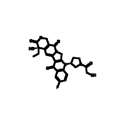 CC[C@@]1(O)C(=O)OCc2c1cc1n(c2=O)Cc2c-1c(=O)c1cc(F)ccc1n2[C@@H]1CCN(C(=O)CO)C1